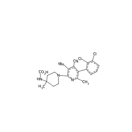 Cc1nc(N2CCC(C)(NC(=O)O)CC2)c(C(C)(C)C)c(C#N)c1-c1cccc(Cl)c1Cl